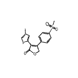 Cc1csc(C2=C(c3ccc(S(C)(=O)=O)cc3)COC2=O)c1